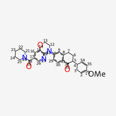 COC1=CCC(C2CCc3cc(N4CCOc5cc(C(=O)N6CCCCC6)cnc54)ccc3C2=O)C=C1